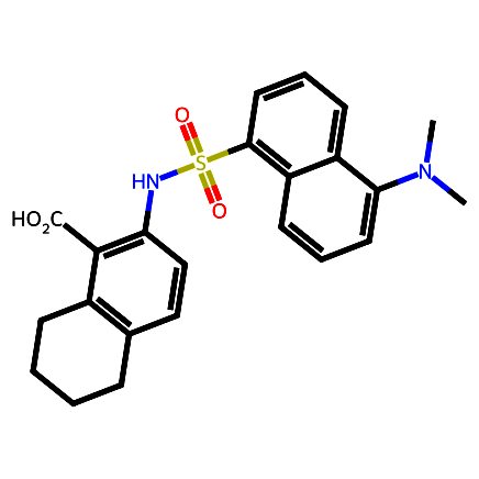 CN(C)c1cccc2c(S(=O)(=O)Nc3ccc4c(c3C(=O)O)CCCC4)cccc12